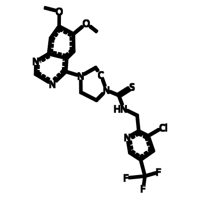 COc1cc2ncnc(N3CCN(C(=S)NCc4ncc(C(F)(F)F)cc4Cl)CC3)c2cc1OC